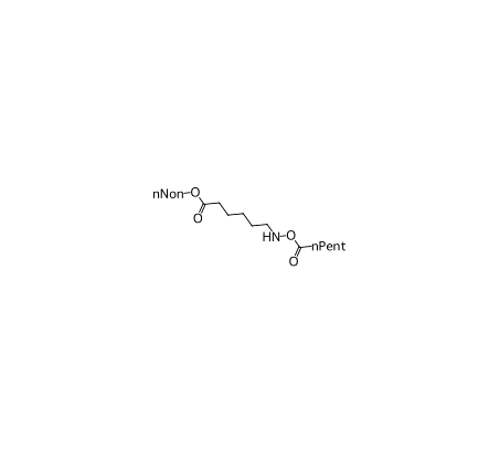 CCCCCCCCCOC(=O)CCCCCNOC(=O)CCCCC